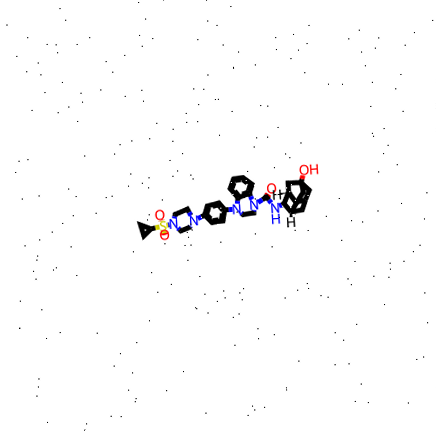 O=C(NC1[C@@H]2CC3C[C@H]1CC(O)(C3)C2)N1CCN(c2ccc(N3CCN(S(=O)(=O)C4CC4)CC3)cc2)c2ccccc21